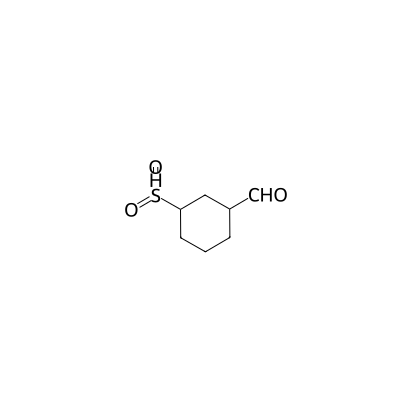 O=CC1CCCC([SH](=O)=O)C1